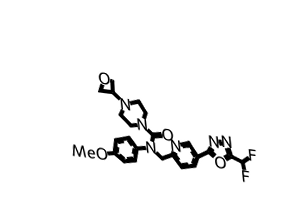 COc1ccc(N(Cc2ccc(-c3nnc(C(F)F)o3)cn2)C(=O)N2CCN(C3COC3)CC2)cc1